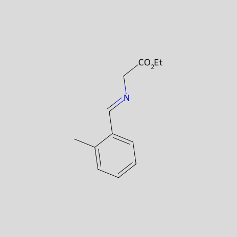 CCOC(=O)C/N=C/c1ccccc1C